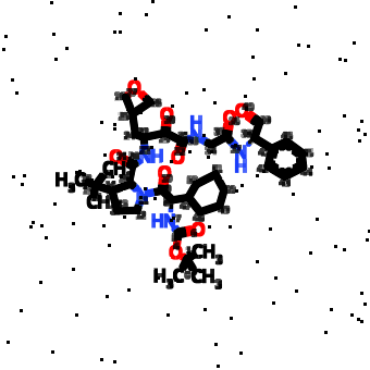 CC(C)(C)OC(=O)N[C@H](C(=O)N1CCC(C(C)(C)C)[C@H]1C(=O)NC(CC1COC1)C(=O)C(=O)NCC(=O)N[C@H](C=O)c1ccccc1)C1CCCCC1